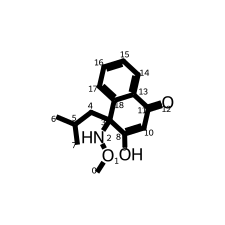 CONC1(CC(C)C)C(O)=CC(=O)c2ccccc21